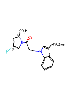 CCCCCCCCc1cn(CC(=O)N2C[C@H](F)C[C@H]2C(=O)O)c2ccccc12